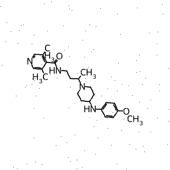 COc1ccc(NC2CCN(C(C)CCNC(=O)c3c(C)cncc3C)CC2)cc1